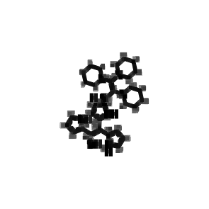 [SiH3]C(=C(N1CCCCC1)N1CCCCC1)N1CCCCC1.[SiH3]C(=C(c1ccc[nH]1)c1ccc[nH]1)c1ccc[nH]1